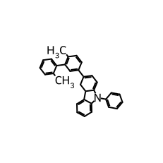 Cc1ccccc1-c1cc(C2=CC=C3C(C2)c2ccccc2N3c2ccccc2)ccc1C